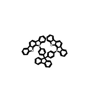 c1ccc2c(c1)-c1ccccc1C2(c1ccc(-n2c3ccccc3c3ccc4c5ccccc5oc4c32)cc1)c1ccc(-n2c3ccccc3c3ccc4c5ccccc5oc4c32)cc1